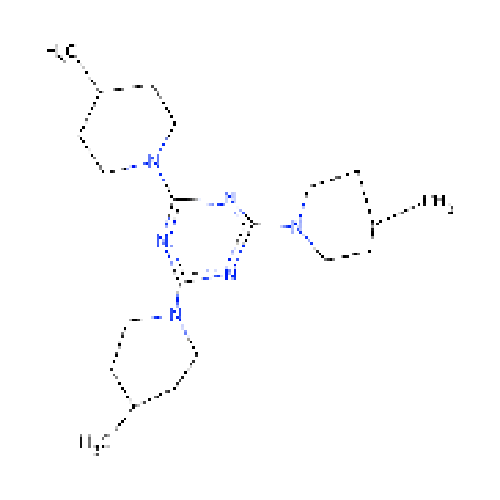 CC1CCN(c2nc(N3CCC(C)CC3)nc(N3CCC(C)CC3)n2)CC1